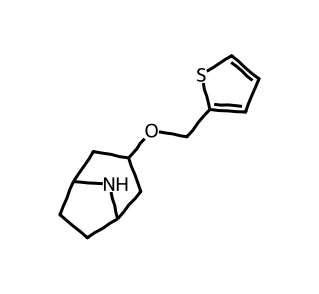 c1csc(COC2CC3CCC(C2)N3)c1